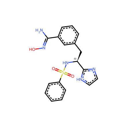 NC(=NO)c1cccc(C[C@H](NS(=O)(=O)c2ccccc2)c2ncc[nH]2)c1